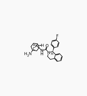 NC12CCC(CC1)[C@H](NC(=O)N1CCc3ccccc3[C@@H]1c1ccc(F)cc1)C2